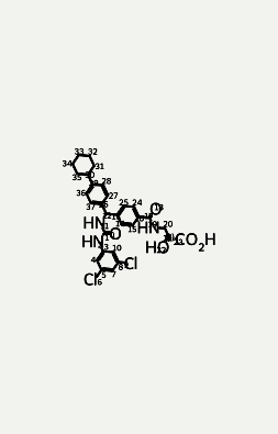 O=C(Nc1cc(Cl)cc(Cl)c1)NC(c1ccc(C(=O)NC[C@@H](O)C(=O)O)cc1)c1ccc(C2CCCCC2)cc1